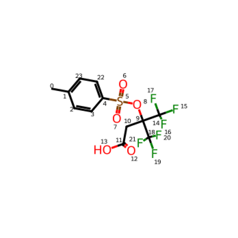 Cc1ccc(S(=O)(=O)OC(CC(=O)O)(C(F)(F)F)C(F)(F)F)cc1